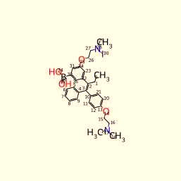 CC/C(=C(/c1ccccc1)c1ccc(OCCN(C)C)cc1)c1cc(OCCN(C)I)cc(B(O)O)c1